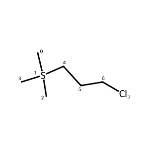 CS(C)(C)CCCCl